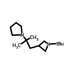 CC(C)(C)N1CC(CC(C)(C)N2CCCC2)C1